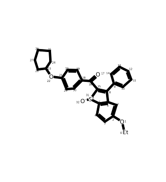 CCOc1ccc2c(c1)c(-c1ccccc1)c(C(=O)c1ccc(OC3CCCCC3)cc1)[s+]2[O-]